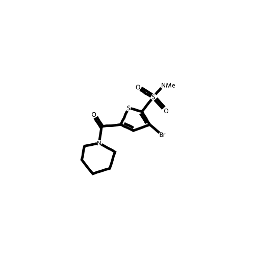 CNS(=O)(=O)c1sc(C(=O)N2CCCCC2)cc1Br